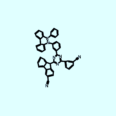 N#Cc1cccc(-c2nc(-c3cccc(N4B(c5ccccc5)c5ccccc5-c5ccccc54)c3)nc(C3c4ccccc4-c4cc(C#N)ccc43)n2)c1